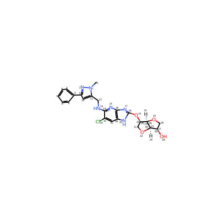 Cn1nc(-c2ccccc2)cc1CNc1nc2nc(O[C@@H]3CO[C@H]4[C@@H]3OC[C@H]4O)[nH]c2cc1Cl